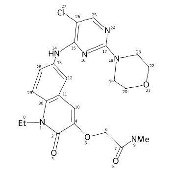 CCn1c(=O)c(OCC(=O)NC)cc2cc(Nc3nc(N4CCOCC4)ncc3Cl)ccc21